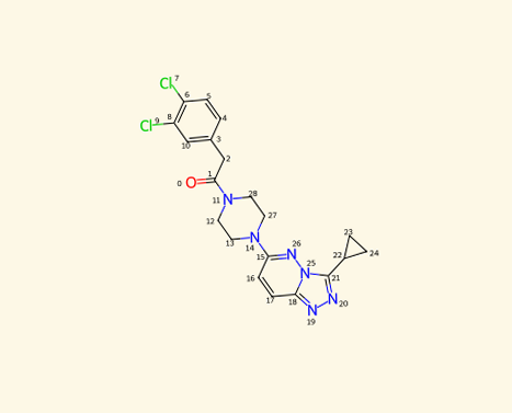 O=C(Cc1ccc(Cl)c(Cl)c1)N1CCN(c2ccc3nnc(C4CC4)n3n2)CC1